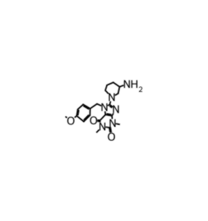 COc1ccc(Cn2c(N3CCCC(N)C3)nc3c2c(=O)n(C)c(=O)n3C)cc1